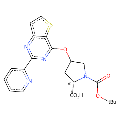 CC(C)(C)OC(=O)N1CC(Oc2nc(-c3ccccn3)nc3ccsc23)C[C@H]1C(=O)O